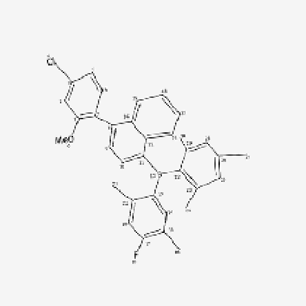 COc1cc(Cl)ccc1-c1ccc(B(c2cc(C)c(F)cc2C)c2c(C)cc(C)cc2C)c2ccccc12